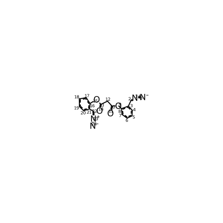 [N-]=[N+]=Cc1ccccc1OC(=O)CC(=O)Oc1ccccc1C=[N+]=[N-]